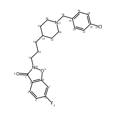 O=c1c2ccc(F)cc2on1CCCC1CCN(Cc2ccc(Cl)cc2)CC1